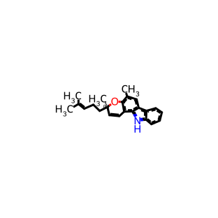 CC(C)=CCC[C@]1(C)C=Cc2c(c(C)cc3c2[nH]c2ccccc23)O1